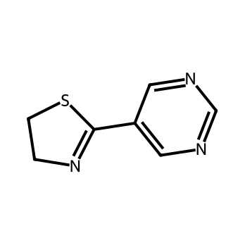 c1ncc(C2=NCCS2)cn1